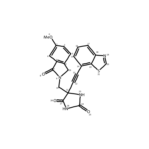 COc1ccc2c(c1)C(=O)N(CC1(C#Cc3cccc4ncsc34)NC(=O)NC1=O)C2